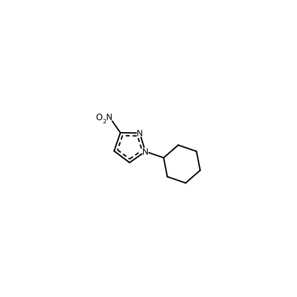 O=[N+]([O-])c1ccn(C2CCCCC2)n1